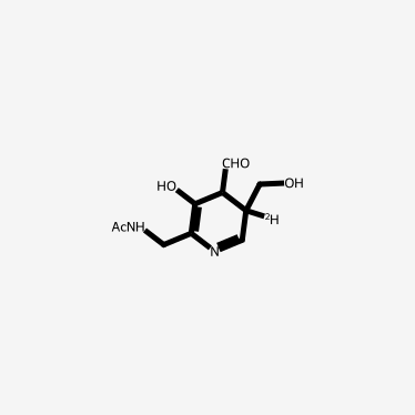 [2H]C1(CO)C=NC(CNC(C)=O)=C(O)C1C=O